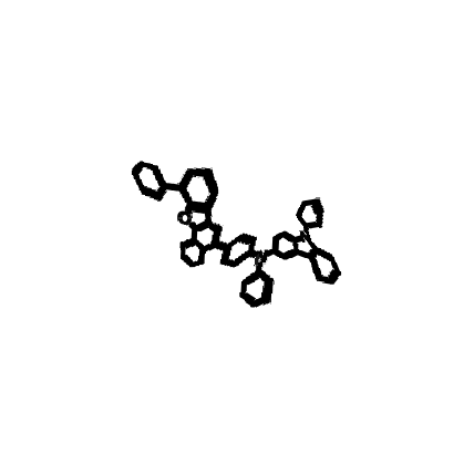 C1=CCC(n2c3ccccc3c3cc(N(c4ccccc4)c4ccc(-c5cc6c7c(oc6c6ccccc56)C(C5=CCCC=C5)CC=C7)cc4)ccc32)C=C1